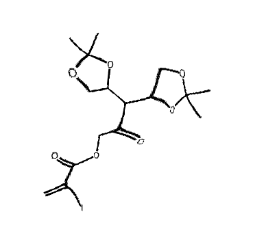 C=C(I)C(=O)OCC(=O)C(C1COC(C)(C)O1)C1COC(C)(C)O1